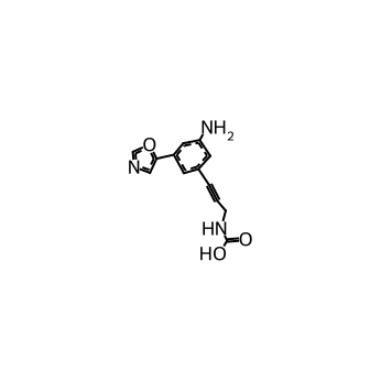 Nc1cc(C#CCNC(=O)O)cc(-c2cnco2)c1